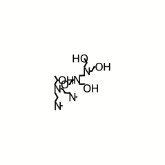 CC(O)CN(CCCN(C)C)C(CCN(C)C)OCCN(CCO)CCN(CCO)CCO